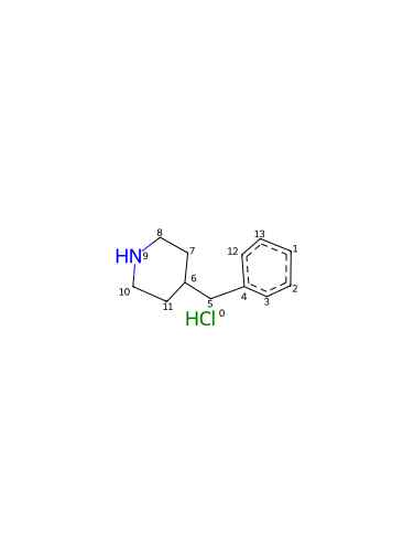 Cl.c1ccc(CC2CCNCC2)cc1